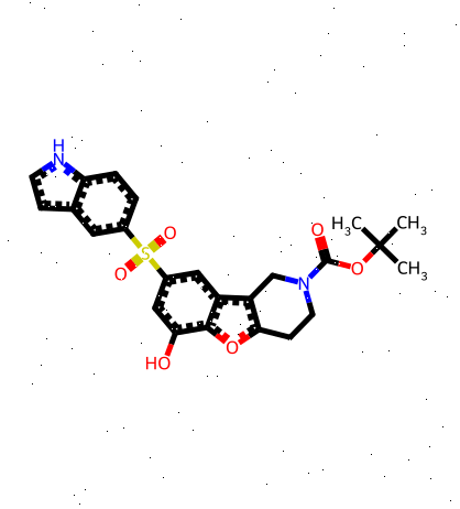 CC(C)(C)OC(=O)N1CCc2oc3c(O)cc(S(=O)(=O)c4ccc5[nH]ccc5c4)cc3c2C1